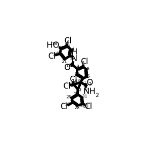 NC(=O)C1(c2ccc(Cl)c(C(=O)Nc3cc(Cl)c(O)c(Cl)c3)c2)C(c2cc(Cl)cc(Cl)c2)C1(Cl)Cl